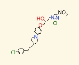 O=[N+]([O-])c1cn(CCC(O)COc2ccc(N3CCC(CCCc4ccc(Cl)cc4)CC3)cc2)c(Cl)n1